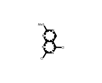 CSc1ncc2c(Cl)nc(Cl)nc2n1